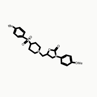 COc1ccc(N2CC(CN3CCC(S(=O)(=O)c4ccc(C(C)(C)C)cc4)CC3)OC2=O)cc1